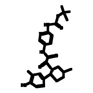 Cc1cc(C2CCC(C)CN2C(=O)C(=O)Nc2ccc(NC(=O)OC(C)(C)C)nc2)ccc1O